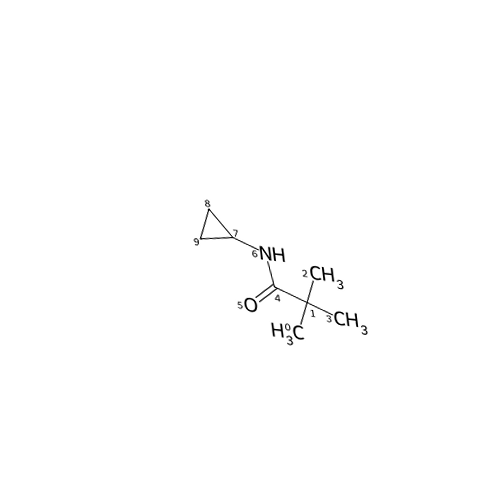 CC(C)(C)C(=O)NC1CC1